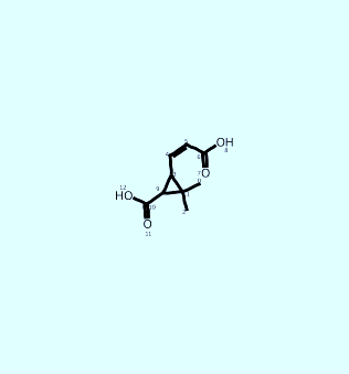 CC1(C)C(/C=C\C(=O)O)C1C(=O)O